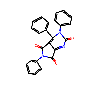 O=C1c2nc(=O)n(-c3ccccc3)c(-c3ccccc3)c2C(=O)N1c1ccccc1